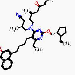 C=CC(=O)CC(=C)CCN(C[C@@H](C)CC#N)c1nc(OC[C@@H]2CCCC2C=C)nc(CC)c1CCCCc1cc(O)cc2ccccc12